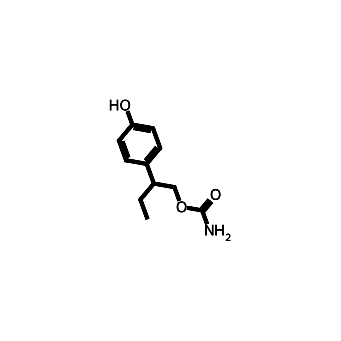 CCC(COC(N)=O)c1ccc(O)cc1